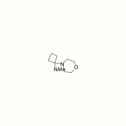 CNC1(N2CCOCC2)CCC1